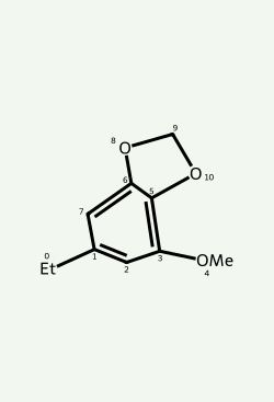 CCc1cc(OC)c2c(c1)OCO2